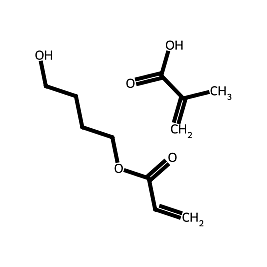 C=C(C)C(=O)O.C=CC(=O)OCCCCO